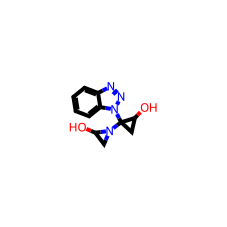 OC1CN1C1(n2nnc3ccccc32)CC1O